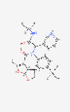 CC1=C(C(=O)N(c2ccc(C(C)(C)C)cc2)C(C(=O)NC(C)(C)C)c2cccnc2)C2CCOC2O1